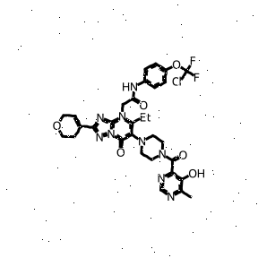 CCc1c(N2CCN(C(=O)c3ncnc(C)c3O)CC2)c(=O)n2nc(C3=CCOCC3)nc2n1CC(=O)Nc1ccc(OC(F)(F)Cl)cc1